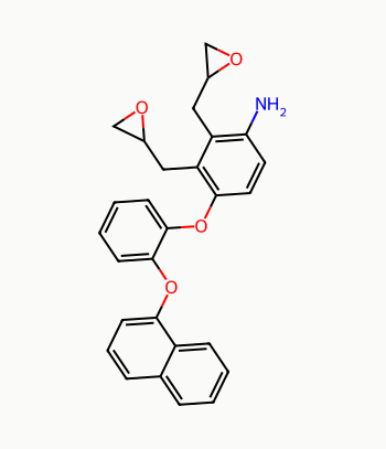 Nc1ccc(Oc2ccccc2Oc2cccc3ccccc23)c(CC2CO2)c1CC1CO1